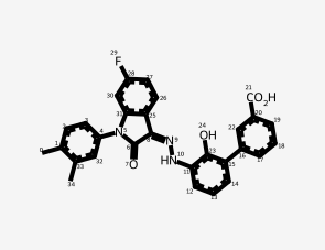 Cc1ccc(N2C(=O)C(=NNc3cccc(-c4cccc(C(=O)O)c4)c3O)c3ccc(F)cc32)cc1C